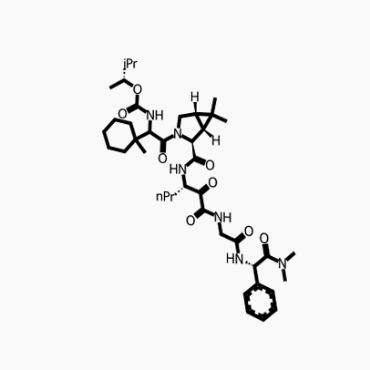 CCC[C@H](NC(=O)[C@@H]1[C@@H]2[C@H](CN1C(=O)C(NC(=O)O[C@H](C)C(C)C)C1(C)CCCCC1)C2(C)C)C(=O)C(=O)NCC(=O)N[C@H](C(=O)N(C)C)c1ccccc1